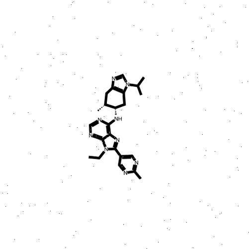 CCn1c(-c2cnc(C)nc2)nc2c(N[C@H]3Cc4c(ncn4C(C)C)C[C@H]3C)ncnc21